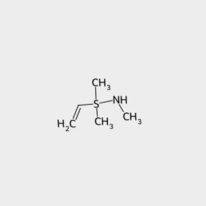 C=CS(C)(C)NC